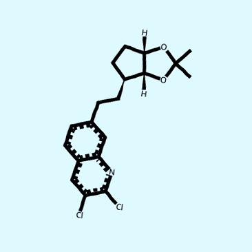 CC1(C)O[C@@H]2[C@@H](CCc3ccc4cc(Cl)c(Cl)nc4c3)CC[C@@H]2O1